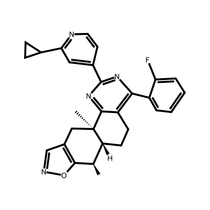 C[C@H]1c2oncc2C[C@@]2(C)c3nc(-c4ccnc(C5CC5)c4)nc(-c4ccccc4F)c3CC[C@H]12